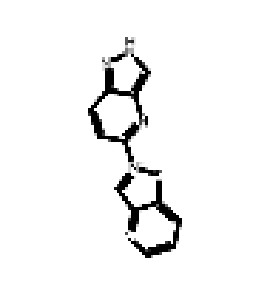 c1cnc2c[n+](-c3ccc4n[nH]cc4n3)sc2c1